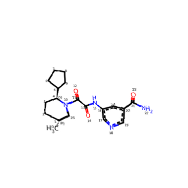 C[C@@H]1CC[C@@H](C2CCCC2)N(C(=O)C(=O)Nc2cncc(C(N)=O)c2)C1